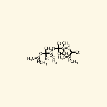 CCC(O[Si](C)(C)C(C)(CC)O[SiH](C)C(C)(CC)O[SiH](C)C)[SiH](C)C